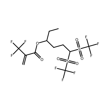 C=C(C(=O)OC(CC)CCC(S(=O)(=O)C(F)(F)F)S(=O)(=O)C(F)(F)F)C(F)(F)F